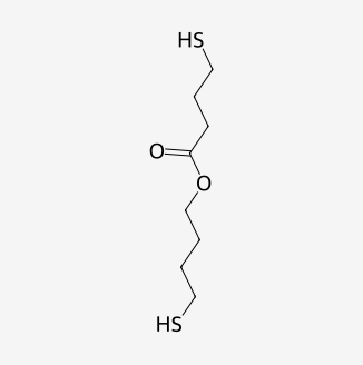 O=C(CCCS)OCCCCS